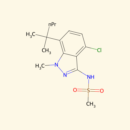 CCCC(C)(C)c1ccc(Cl)c2c(NS(C)(=O)=O)nn(C)c12